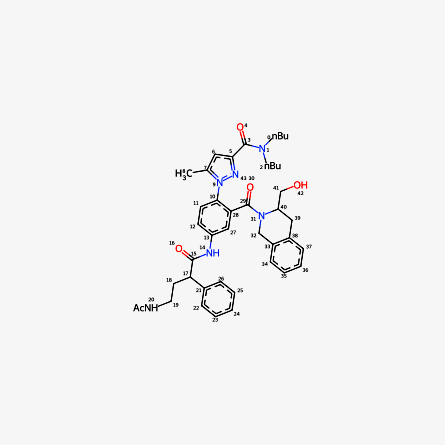 CCCCN(CCCC)C(=O)c1cc(C)n(-c2ccc(NC(=O)C(CCNC(C)=O)c3ccccc3)cc2C(=O)N2Cc3ccccc3CC2CO)n1